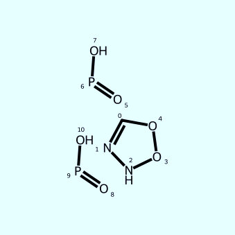 C1=NNOO1.O=PO.O=PO